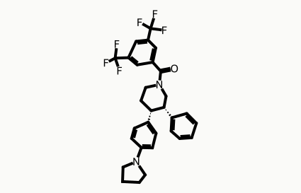 O=C(c1cc(C(F)(F)F)cc(C(F)(F)F)c1)N1CC[C@@H](c2ccc(N3CCCC3)cc2)[C@@H](c2ccccc2)C1